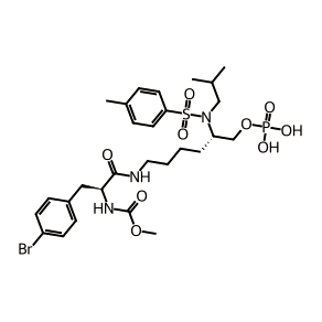 COC(=O)N[C@@H](Cc1ccc(Br)cc1)C(=O)NCCCC[C@@H](COP(=O)(O)O)N(CC(C)C)S(=O)(=O)c1ccc(C)cc1